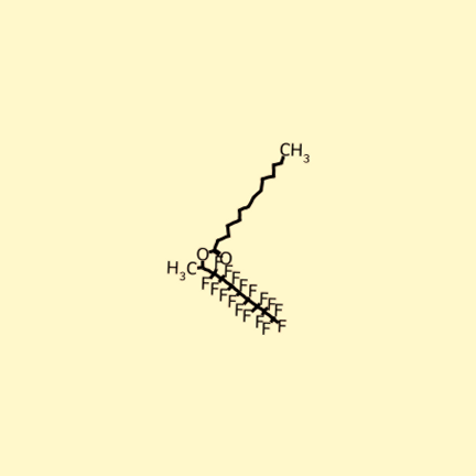 CCCCCCCCCCCCCC(=O)OC(C)C(F)(F)C(F)(F)C(F)(F)C(F)(F)C(F)(F)C(F)(F)C(F)(F)C(F)(F)F